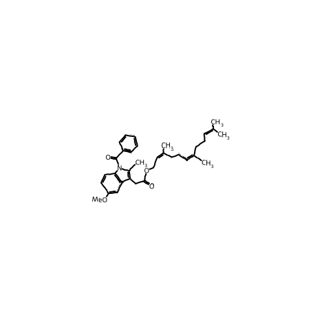 COc1ccc2c(c1)c(CC(=O)OCC=C(C)CCC=C(C)CCC=C(C)C)c(C)n2C(=O)c1ccccc1